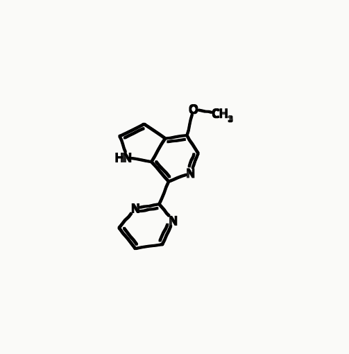 COc1cnc(-c2ncccn2)c2[nH]ccc12